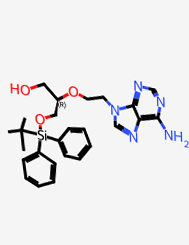 CC(C)(C)[Si](OC[C@@H](CO)OCCn1cnc2c(N)ncnc21)(c1ccccc1)c1ccccc1